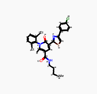 CCc1cccc(CC)c1-n1c(C)c(C(=O)NCCCNC)cc(-c2nc(-c3ccc(Cl)cc3)cs2)c1=O